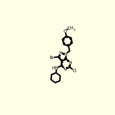 COc1ccc(Cn2nc(Br)c3c(NC4CCCCC4)nc(Cl)nc32)cc1